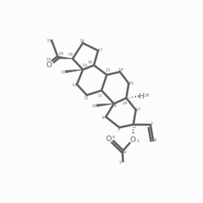 C=C[C@@]1(OC(C)=O)CC[C@]2(C)C3CC[C@@]4(C)C(CC[C@@H]4C(C)=O)C3CC[C@H]2C1